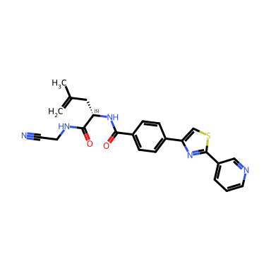 C=C(C)C[C@H](NC(=O)c1ccc(-c2csc(-c3cccnc3)n2)cc1)C(=O)NCC#N